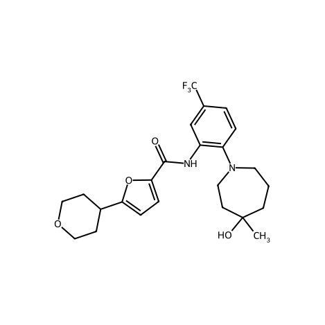 CC1(O)CCCN(c2ccc(C(F)(F)F)cc2NC(=O)c2ccc(C3CCOCC3)o2)CC1